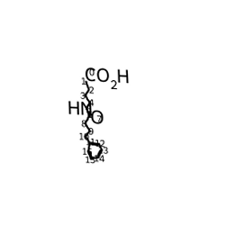 O=C(O)CCCCNC(=O)CCCc1ccccc1